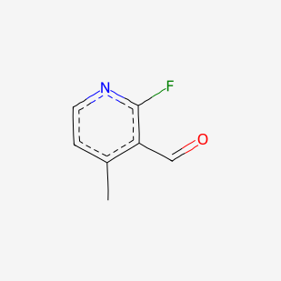 Cc1ccnc(F)c1C=O